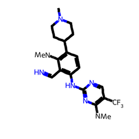 CNc1nc(Nc2ccc(C3CCN(C)CC3)c(NC)c2C=N)ncc1C(F)(F)F